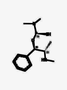 CN[C@@H](C)[C@H](O[P@](S)N(C)C)c1ccccc1